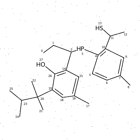 CCC(Pc1ccc(C)cc1C(C)S)c1cc(C)cc(C(C)(C)C(C)C)c1O